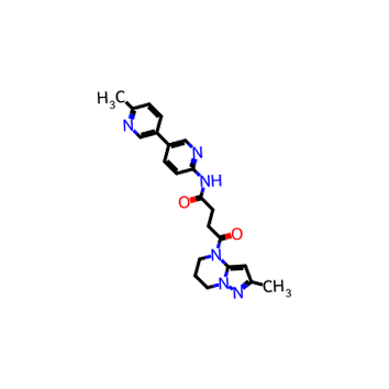 Cc1ccc(-c2ccc(NC(=O)CCC(=O)N3CCCn4nc(C)cc43)nc2)cn1